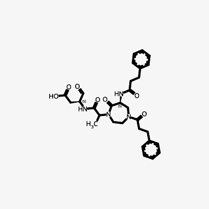 CC(C(=O)N[C@H](C=O)CC(=O)O)N1CCN(C(=O)CCc2ccccc2)C[C@H](NC(=O)CCc2ccccc2)C1=O